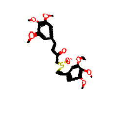 COc1cc(/C=C\[S+]([O-])CC(=O)/C=C/c2cc(OC)c(OC)c(OC)c2)cc(OC)c1OC